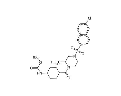 CC(C)(C)OC(=O)NC1CCC(C(=O)N2CCN(S(=O)(=O)c3ccc4cc(Cl)ccc4c3)CC2C(=O)O)CC1